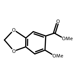 COC(=O)c1cc2c(cc1OC)OCO2